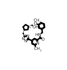 COc1cccc(CNC(=O)c2cc(-c3nnn(C[C@@H]4CC[C@H](CO)C4)n3)cc(C)n2)c1